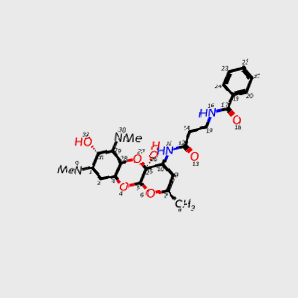 CNC1CC2OC3O[C@H](C)CC(NC(=O)CCNC(=O)c4ccccc4)[C@]3(O)OC2C(NC)[C@H]1O